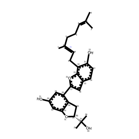 CC(C)=CCC/C(C)=C/Cc1c(O)ccc2cc(-c3cc(O)cc4c3C[C@H](C(C)(C)O)O4)oc12